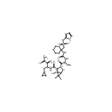 CC(C)(C)[C@H](NC(=O)NC1(CS(=O)(=O)Cc2ccco2)CCCCC1)C(=O)N1CC2[C@@H]([C@H]1C(=O)NC(CC1CC1)C(=O)C(N)=O)C2(C)C